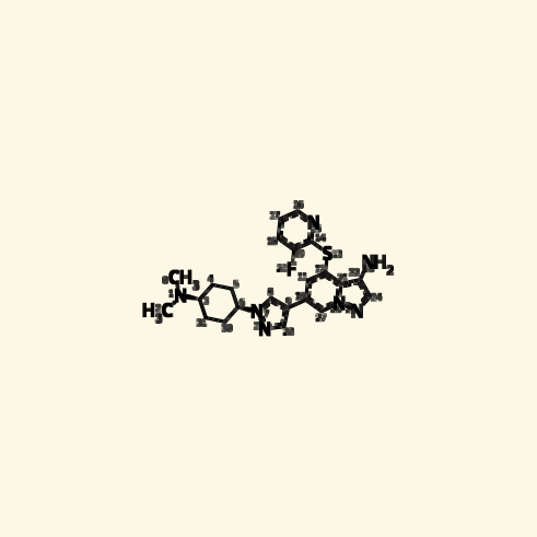 CN(C)[C@H]1CC[C@@H](n2cc(-c3cc(Sc4ncccc4F)c4c(N)cnn4c3)cn2)CC1